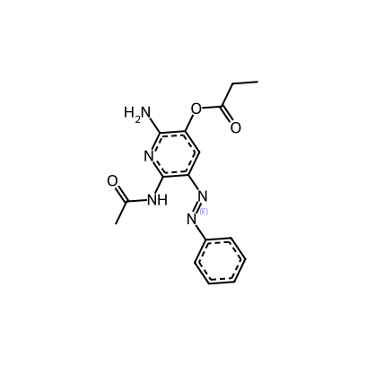 CCC(=O)Oc1cc(/N=N/c2ccccc2)c(NC(C)=O)nc1N